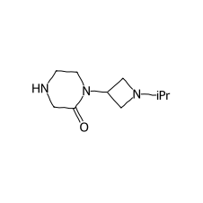 CC(C)N1CC(N2CCNCC2=O)C1